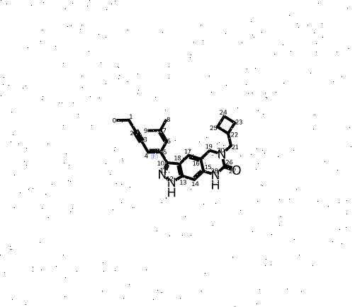 CCC#C/C=C(\C=C(C)C)c1n[nH]c2cc3c(cc12)CN(CC1CCC1)C(=O)N3